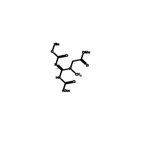 CCCCCCCCCCC(=O)N/C(=N/C(=O)OC(C)(C)C)N(C)CC(=O)OC